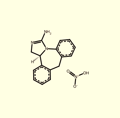 NC1=NC[C@@H]2c3ccccc3Cc3ccccc3N12.O=[N+]([O-])O